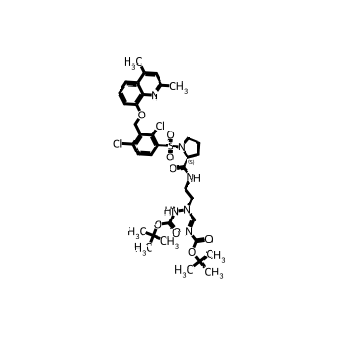 Cc1cc(C)c2cccc(OCc3c(Cl)ccc(S(=O)(=O)N4CCC[C@H]4C(=O)NCCN(C=NC(=O)OC(C)(C)C)NC(=O)OC(C)(C)C)c3Cl)c2n1